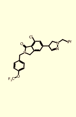 CC(C)CN1CC(c2cc(Cl)c3c(c2)CN(Cc2ccc(OC(F)(F)F)cc2)C3=O)C=N1